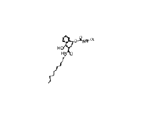 CCCCCCCCCCCCNC(=O)c1cc(OCC(=O)NCCOC)c2ccccc2c1O